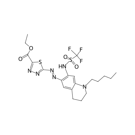 CCCCCN1CCCc2cc(N=Nc3nnc(C(=O)OCC)s3)c(NS(=O)(=O)C(F)(F)F)cc21